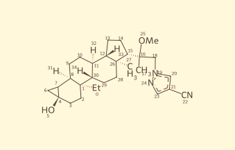 CC[C@]12CC[C@]3(O)CC3[C@H]1CC[C@H]1[C@@H]3CC[C@H](C(C)(Cn4cc(C#N)cn4)OC)[C@@]3(C)CC[C@@H]12